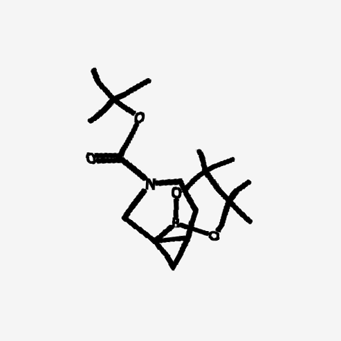 CC(C)(C)OC(=O)N1CCC2CC2(B2OC(C)(C)C(C)(C)O2)C1